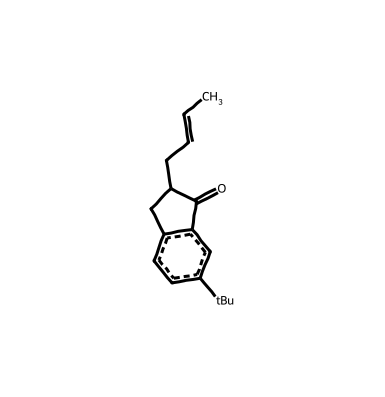 CC=CCC1Cc2ccc(C(C)(C)C)cc2C1=O